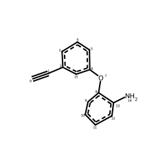 C#Cc1cccc(Oc2ccccc2N)c1